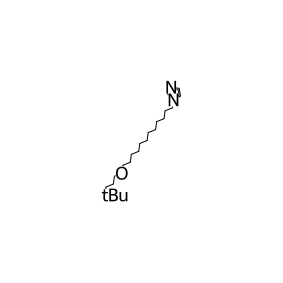 CC(C)(C)CCCOCCCCCCCCCCCCn1ccnc1